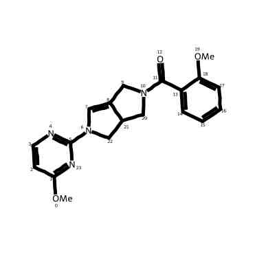 COc1ccnc(N2C=C3CN(C(=O)c4ccccc4OC)CC3C2)n1